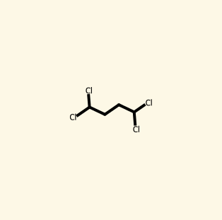 ClC(Cl)CCC(Cl)Cl